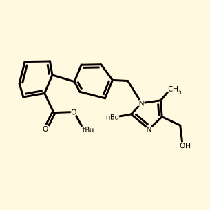 CCCCc1nc(CO)c(C)n1Cc1ccc(-c2ccccc2C(=O)OC(C)(C)C)cc1